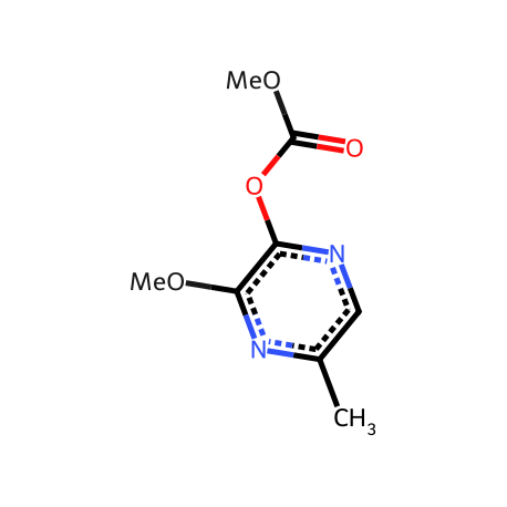 COC(=O)Oc1ncc(C)nc1OC